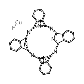 [F][Cu].c1ccc2c(c1)-c1nc-2nc2[nH]c(nc3nc(nc4[nH]c(n1)c1ccccc41)-c1ccccc1-3)c1ccccc21